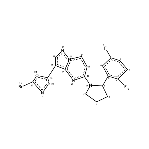 Fc1ccc(F)c(C2CCCN2c2ccn3ncc(-c4nnc(Br)o4)c3n2)c1